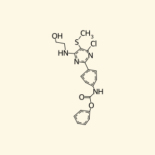 CSc1c(Cl)nc(-c2ccc(NC(=O)Oc3ccccc3)cc2)nc1NCCO